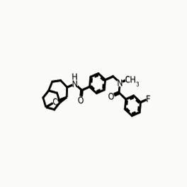 CN(Cc1ccc(C(=O)NC2CCC3CC4CC(C3)C2C4)cc1)C(=O)c1cccc(F)c1